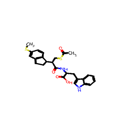 CSc1ccc2c(c1)CCC2C(CSC(C)=O)C(=O)NC(Cc1c[nH]c2ccccc12)C(=O)O